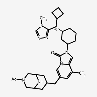 CC(=O)N1CC2CC(Cc3cc(C(F)(F)F)c4cn(C5CCCC([C@H](c6nncn6C)C6CCC6)C5)c(=O)n4c3)CC(C1)N2